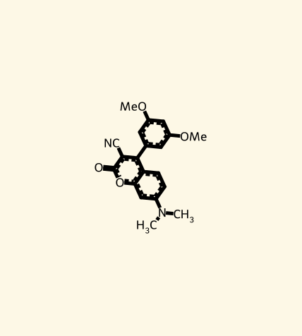 COc1cc(OC)cc(-c2c(C#N)c(=O)oc3cc(N(C)C)ccc23)c1